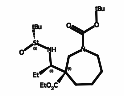 CCOC(=O)[C@]1([C@@H](CC)N[S@+]([O-])C(C)(C)C)CCCCN(C(=O)OC(C)(C)C)C1